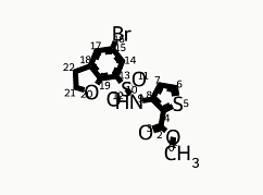 COC(=O)c1sccc1NS(=O)(=O)c1cc(Br)cc2c1OCC2